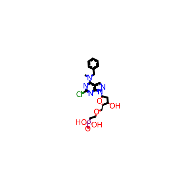 CN(Cc1ccccc1)c1nc(Cl)nc2c1cnn2[C@H]1C[C@H](O)[C@@H](COCCP(=O)(O)O)O1